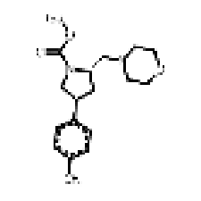 CC(C)(C)OC(=O)N1C[C@H](c2ccc(C(F)(F)F)cc2)C[C@H]1CN1CCOCC1